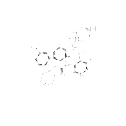 O=C([CH]C1(c2ccc(Cl)cc2)CCOCC1)Nc1cncc(F)c1CC[C@H]1CNCCN1S(=O)(=O)c1ccccc1